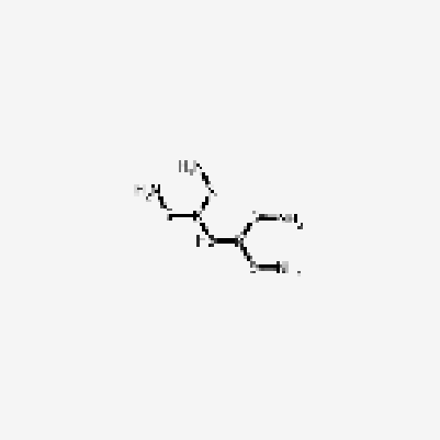 NSB(BB(SN)SN)SN